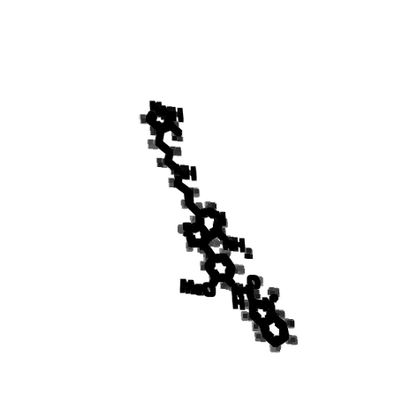 COc1cc(-c2csc3c(C=CCNCCCc4cn[nH]c4C)cnc(N)c23)ccc1NC(=O)c1cc2ccccc2n1C